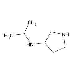 CC(C)NC1CCNC1